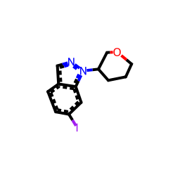 Ic1ccc2cnn(C3CCCOC3)c2c1